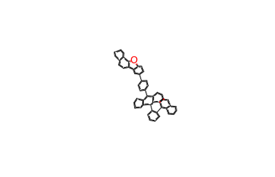 c1ccc(-c2c3ccccc3c(-c3ccc(-c4ccc5oc6c7ccccc7ccc6c5c4)cc3)c3ccccc23)c(-c2cccc3ccccc23)c1